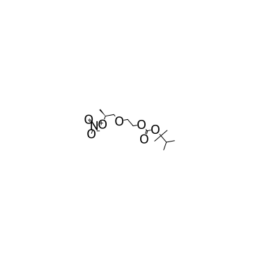 CC(C)C(C)(C)OC(=O)OCCOC[C@H](C)O[N+](=O)[O-]